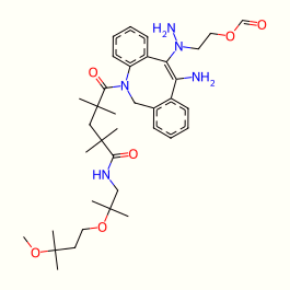 COC(C)(C)CCOC(C)(C)CNC(=O)C(C)(C)CC(C)(C)C(=O)N1Cc2ccccc2/C(N)=C(/N(N)CCOC=O)c2ccccc21